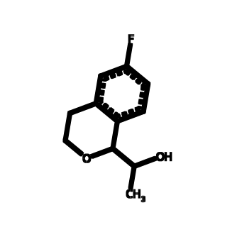 CC(O)C1OCCc2cc(F)ccc21